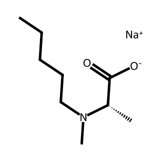 CCCCCN(C)[C@@H](C)C(=O)[O-].[Na+]